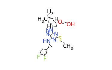 CCCSc1nc(N[C@@H]2C[C@H]2c2ccc(F)c(F)c2)c2nnn([C@@H]3C[C@H](OCCO)[C@H]4CC(C)(C)C[C@H]43)c2n1